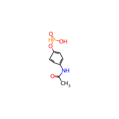 CC(=O)Nc1ccc(O[PH](=O)O)cc1